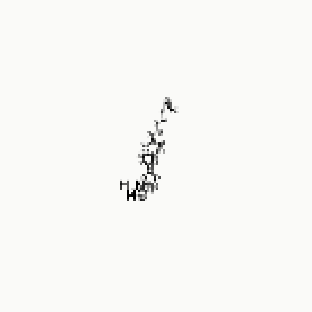 CN(C)CCCCCC1CCc2cc([C@H]3CC[C@](N)(CO)C3)ccc2C1